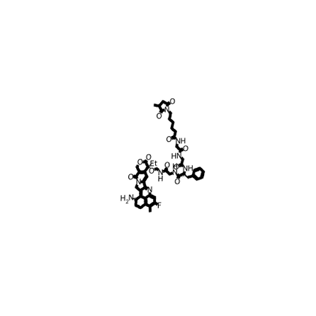 CC[C@@]1(OCNC(=O)CNC(=O)[C@H](Cc2ccccc2)NC(=O)CNC(=O)CNC(=O)CCCCCN2C(=O)CC(C)C2=O)C(=O)OCc2c1cc1n(c2=O)Cc2c-1nc1cc(F)c(C)c3c1c2[C@@H](N)CC3